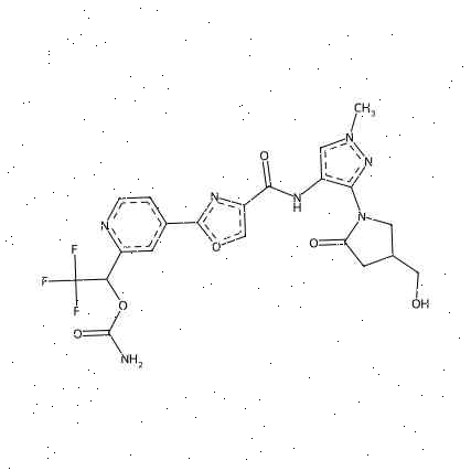 Cn1cc(NC(=O)c2coc(-c3ccnc(C(OC(N)=O)C(F)(F)F)c3)n2)c(N2CC(CO)CC2=O)n1